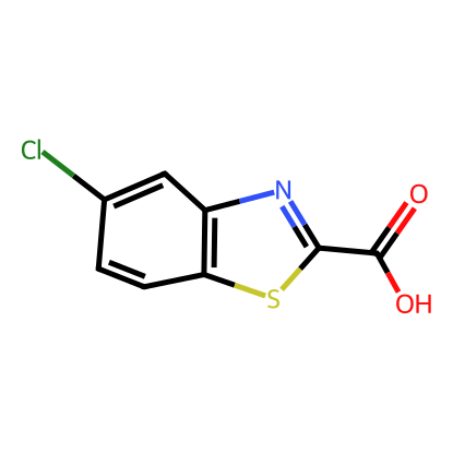 O=C(O)c1nc2cc(Cl)ccc2s1